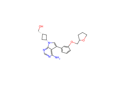 Nc1ncnc2c1c(-c1cccc(OCC3CCCO3)c1)cn2[C@H]1C[C@@H](CO)C1